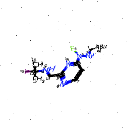 CC[C@H](C)CNN(F)c1ccnc(CNC(C)(C)I)n1